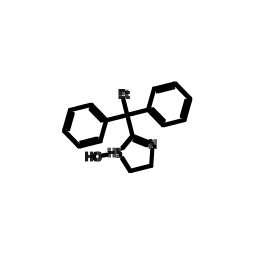 CCC(C1=NCC[SH]1O)(c1ccccc1)c1ccccc1